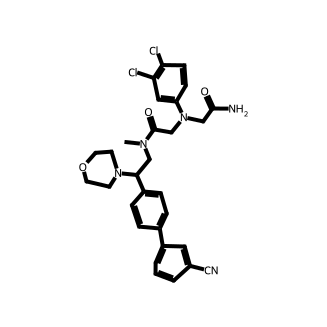 CN(CC(c1ccc(-c2cccc(C#N)c2)cc1)N1CCOCC1)C(=O)CN(CC(N)=O)c1ccc(Cl)c(Cl)c1